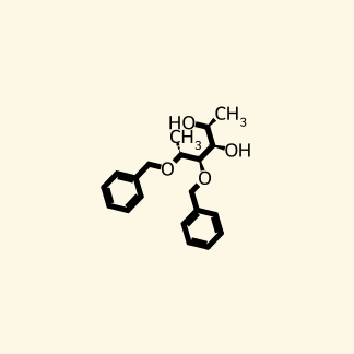 C[C@H](O)[C@@H](O)[C@@H](OCc1ccccc1)[C@@H](C)OCc1ccccc1